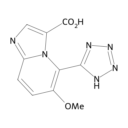 COc1ccc2ncc(C(=O)O)n2c1-c1nnn[nH]1